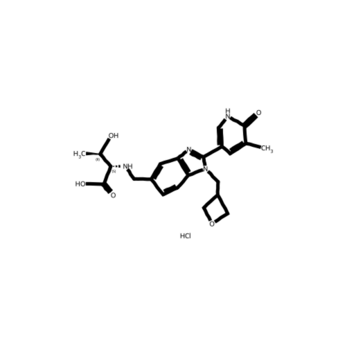 Cc1cc(-c2nc3cc(CN[C@H](C(=O)O)[C@@H](C)O)ccc3n2CC2COC2)c[nH]c1=O.Cl